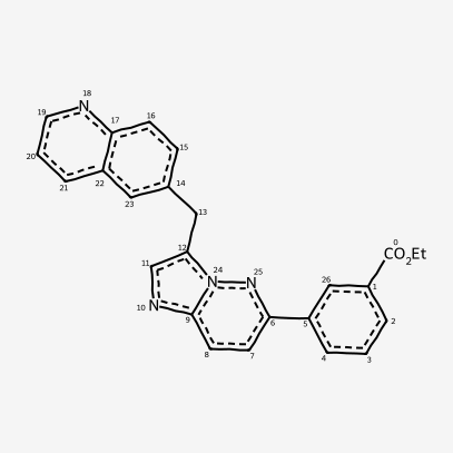 CCOC(=O)c1cccc(-c2ccc3ncc(Cc4ccc5ncccc5c4)n3n2)c1